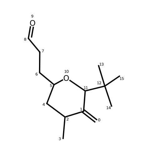 C=C1C(C)CC(CCC=O)OC1C(C)(C)C